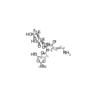 CC(C)(C)C(=O)O[C@H]1C[C@H](n2cc(C#CCN)c(=O)[nH]c2=O)O[C@@H]1CO.O=C(O)C(F)(F)F.O=C(O)C(F)(F)F